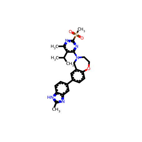 Cc1nc2cc(-c3ccc4c(c3)CN(c3nc(S(C)(=O)=O)nc(C)c3C(C)C)CCO4)ccc2[nH]1